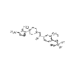 Cc1cnc(C2(O)CCN(CC(=O)c3ccc(O[Si](C(C)C)(C(C)C)C(C)C)c(C)c3)CC2)s1